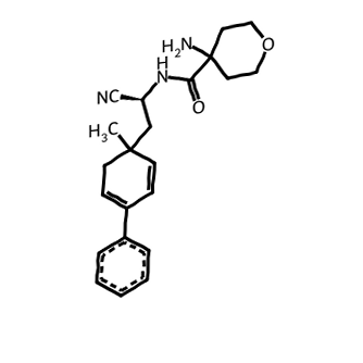 CC1(C[C@@H](C#N)NC(=O)C2(N)CCOCC2)C=CC(c2ccccc2)=CC1